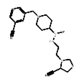 N#Cc1cccc(CN2CCC([NH+]([O-])NCCN3CSCC3C#N)CC2)c1